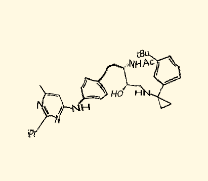 CC(=O)N[C@@H](Cc1ccc(Nc2cc(C)nc(C(C)C)n2)cc1)[C@H](O)CNC1(c2cccc(C(C)(C)C)c2)CC1